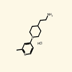 Cc1cc(N2CCC(CCN)CC2)ccn1.Cl